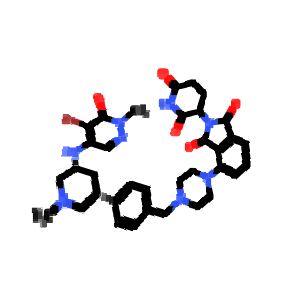 CN1C[C@H](Nc2cnn(C)c(=O)c2Br)C[C@H](c2ccc(CN3CCN(c4cccc5c4C(=O)N(C4CCC(=O)NC4=O)C5=O)CC3)cc2)C1